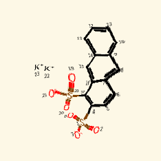 O=S(=O)([O-])c1ccc2cc3ccccc3cc2c1S(=O)(=O)[O-].[K+].[K+]